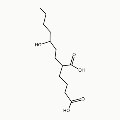 CCCCC(O)CCC(CCCC(=O)O)C(=O)O